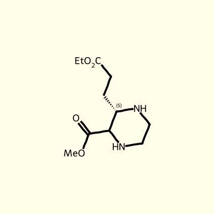 CCOC(=O)CC[C@@H]1NCCNC1C(=O)OC